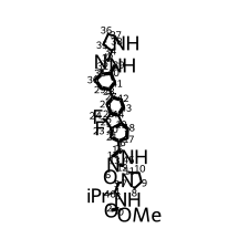 COC(=O)N[C@H](C(=O)N1CCC[C@H]1c1ncc(-c2ccc3c(c2)C(F)(F)c2cc(-c4ccc5nc(C6CCCN6)[nH]c5c4)ccc2-3)[nH]1)C(C)C